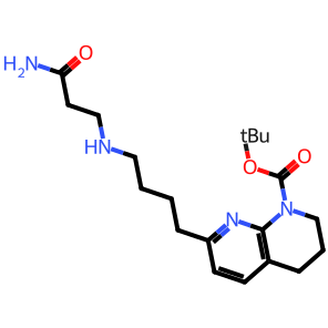 CC(C)(C)OC(=O)N1CCCc2ccc(CCCCNCCC(N)=O)nc21